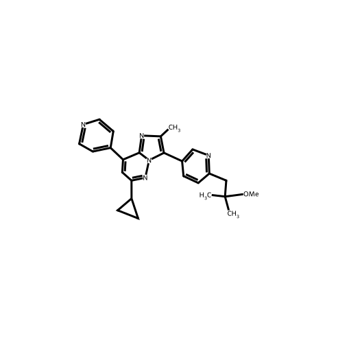 COC(C)(C)Cc1ccc(-c2c(C)nc3c(-c4ccncc4)cc(C4CC4)nn23)cn1